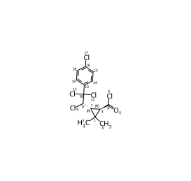 CC1(C)[C@H](C(=O)Cl)[C@H]1C(Cl)C(Cl)(Cl)c1ccc(Cl)cc1